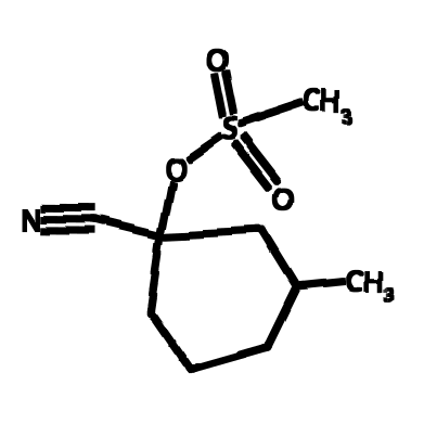 CC1CCCC(C#N)(OS(C)(=O)=O)C1